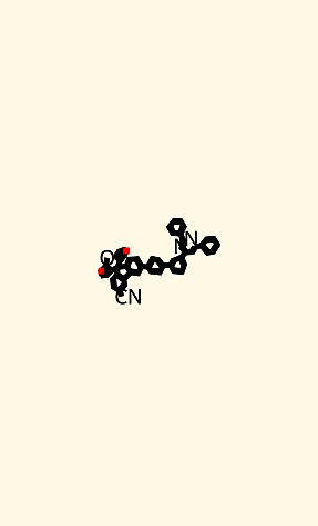 N#Cc1ccc2c(c1)-c1cc(-c3ccc(-c4cccc(-c5cc(-c6ccccc6)nc(-c6ccccc6)n5)c4)cc3)ccc1C21c2ccccc2Oc2ccccc21